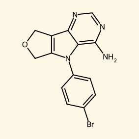 Nc1ncnc2c3c(n(-c4ccc(Br)cc4)c12)COC3